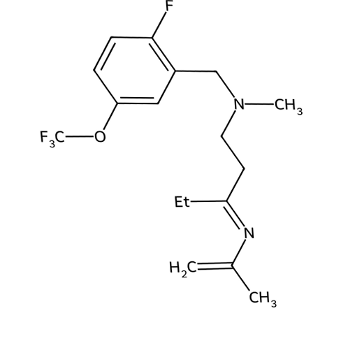 C=C(C)/N=C(\CC)CCN(C)Cc1cc(OC(F)(F)F)ccc1F